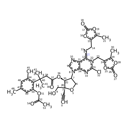 C#C[C@]1(CO)OCC(n2cnc3/c(=N/Cc4oc(=O)oc4C)n(Cc4oc(=O)oc4C)c(Cl)nc32)[C@@H]1OC(=O)CC(C)(C)c1c(C)cc(C)cc1OC(C)=O